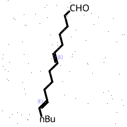 CCCC/C=C/CCC/C=C/CCCCC=O